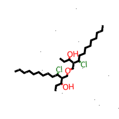 CCCCCCCCCC(Cl)C(COCC(C(O)CC)C(Cl)CCCCCCCCC)C(O)CC